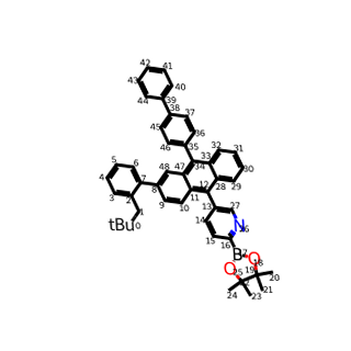 CC(C)(C)Cc1ccccc1-c1ccc2c(-c3ccc(B4OC(C)(C)C(C)(C)O4)nc3)c3ccccc3c(-c3ccc(-c4ccccc4)cc3)c2c1